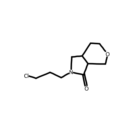 O=C1C2COCCC2CN1CCCCl